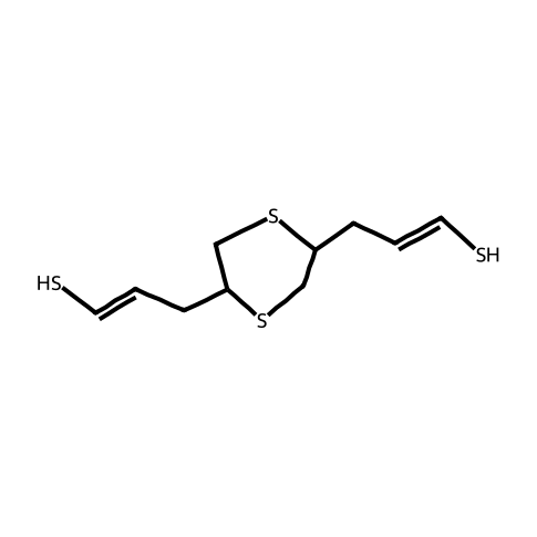 SC=CCC1CSC(CC=CS)CS1